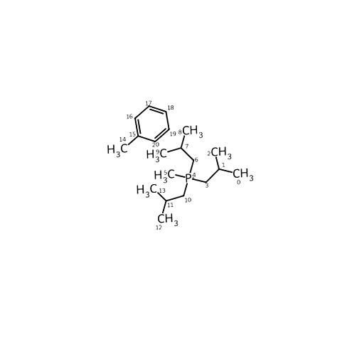 CC(C)C[P](C)(CC(C)C)CC(C)C.Cc1ccccc1